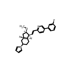 CO[C@@H]1C[C@H]2CC(n3cccc3)CC[C@@H]2[C@@H]1C=Cc1ccc(-c2cccc(F)c2)cn1